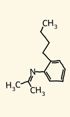 CCCCc1ccccc1N=C(C)C